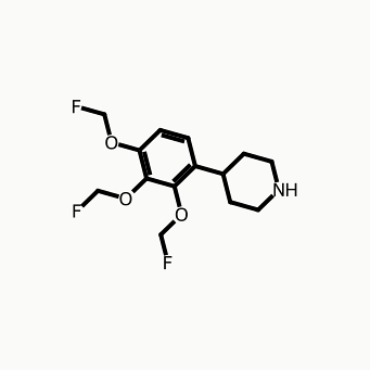 FCOc1ccc(C2CCNCC2)c(OCF)c1OCF